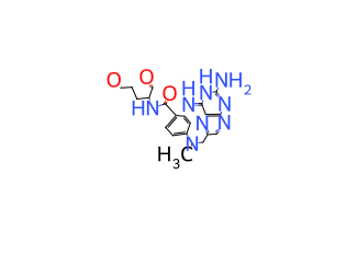 CN(Cc1cnc2nc(N)[nH]c(=N)c2n1)c1ccc(C(=O)NC(C=O)CCC=O)cc1